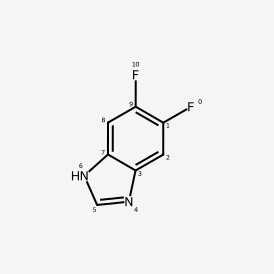 Fc1cc2nc[nH]c2cc1F